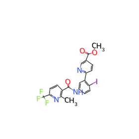 COC(=O)c1ccc(-c2cc(NC(=O)c3ccc(C(F)(F)F)nc3C)ccc2I)nc1